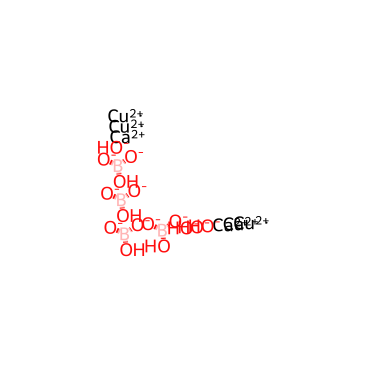 [Ca+2].[Ca+2].[Ca+2].[Cu+2].[Cu+2].[Cu+2].[O-]B([O-])O.[O-]B([O-])O.[O-]B([O-])O.[O-]B([O-])O.[OH-].[OH-].[OH-].[OH-]